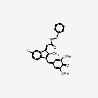 COC1=CC(=CC2=C(C)C(=CC(=O)NOc3ccccc3)c3cc(F)ccc32)C=C(OC)C1=O